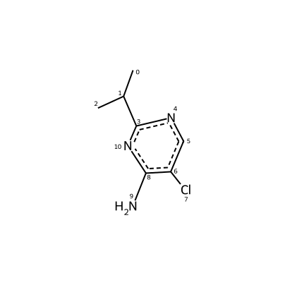 CC(C)c1ncc(Cl)c(N)n1